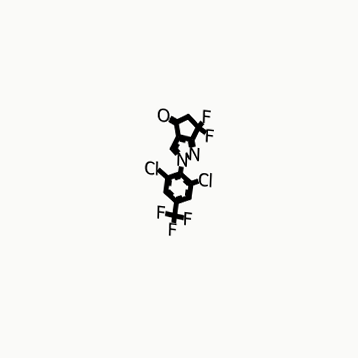 O=C1CC(F)(F)c2nn(-c3c(Cl)cc(C(F)(F)F)cc3Cl)cc21